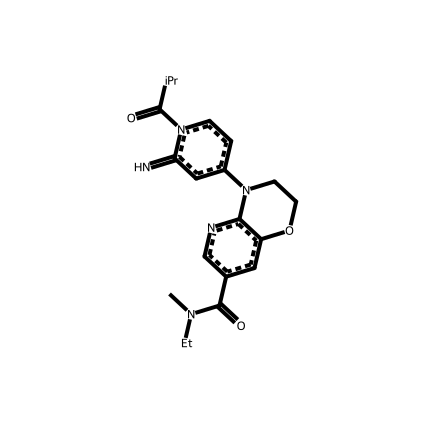 CCN(C)C(=O)c1cnc2c(c1)OCCN2c1ccn(C(=O)C(C)C)c(=N)c1